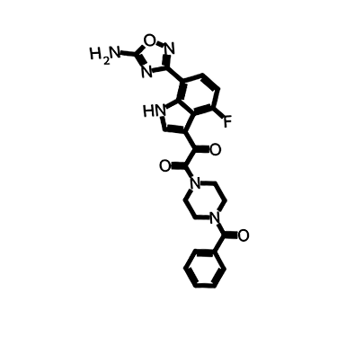 Nc1nc(-c2ccc(F)c3c(C(=O)C(=O)N4CCN(C(=O)c5ccccc5)CC4)c[nH]c23)no1